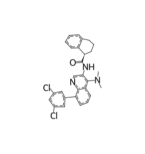 CN(C)c1c(NC(=O)[C@@H]2CCCc3ccccc32)cnc2c(-c3cc(Cl)cc(Cl)c3)cccc12